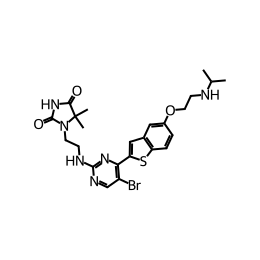 CC(C)NCCOc1ccc2sc(-c3nc(NCCN4C(=O)NC(=O)C4(C)C)ncc3Br)cc2c1